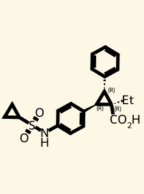 CC[C@@]1(C(=O)O)[C@@H](c2ccccc2)[C@@H]1c1ccc(NS(=O)(=O)C2CC2)cc1